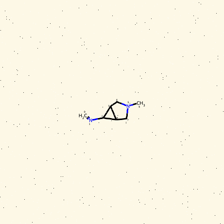 C=NC1C2CN(C)CC21